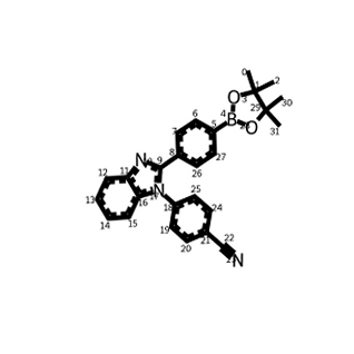 CC1(C)OB(c2ccc(-c3nc4ccccc4n3-c3ccc(C#N)cc3)cc2)OC1(C)C